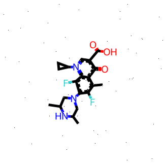 Cc1c(F)c(N2CC(C)NC(C)C2)c(F)c2c1c(=O)c(C(=O)O)cn2C1CC1